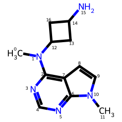 CN(c1ncnc2c1ccn2C)C1CC(N)C1